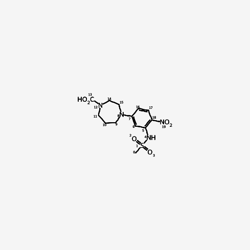 CS(=O)(=O)Nc1cc(N2CCCN(C(=O)O)CC2)ccc1[N+](=O)[O-]